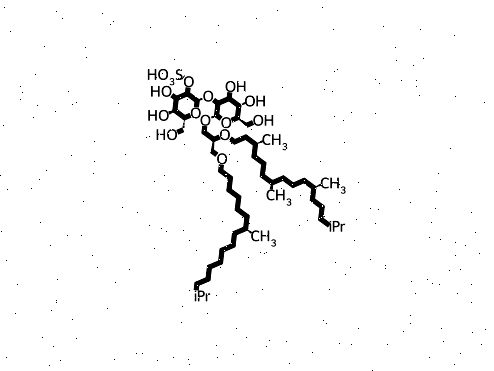 CC(C)CCCCCCC[C@@H](C)CCCCCCOC[C@@H](CO[C@H]1O[C@H](CO)[C@@H](O)C(O)C1O[C@@H]1O[C@H](CO)[C@@H](O)C(O)C1OS(=O)(=O)O)OCC[C@H](C)CCC[C@H](C)CCC[C@H](C)CCCC(C)C